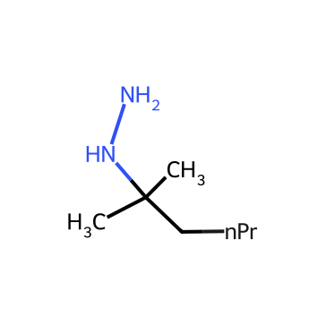 CCCCC(C)(C)NN